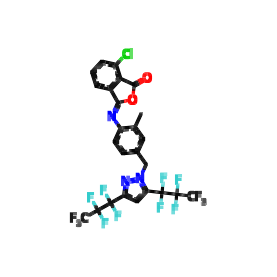 Cc1cc(Cn2nc(C(F)(F)C(F)(F)C(F)(F)F)cc2C(F)(F)C(F)(F)C(F)(F)F)ccc1N=C1OC(=O)c2c(Cl)cccc21